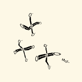 O=S(=O)([O-])[O-].O=S(=O)([O-])[O-].O=S(=O)([O-])[O-].[Mo+6]